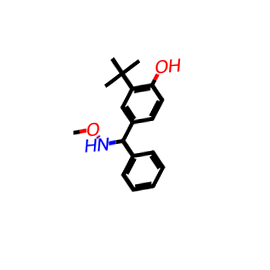 CONC(c1ccccc1)c1ccc(O)c(C(C)(C)C)c1